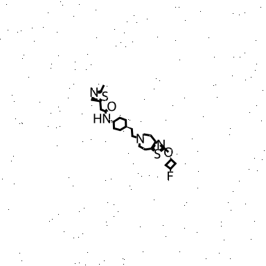 Cc1ncc(CC(=O)N[C@H]2CC[C@H](CCN3CCc4nc(O[C@H]5C[C@H](F)C5)sc4CC3)CC2)s1